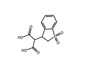 O=C(O)C(C(=O)O)C1CS(=O)(=O)c2ccccc21